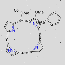 COc1c2nc(cc3ccc(cc4nc(cc5c(-c6ccccc6)c(OC)c1n5OC)C=C4)[nH]3)C=C2.[Co]